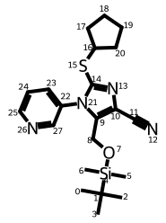 CC(C)(C)[Si](C)(C)OCc1c(C#N)nc(SC2CCCC2)n1-c1cccnc1